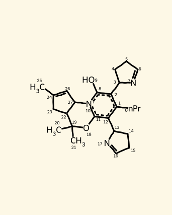 CCCc1c(C2CCC=N2)c(O)[n+]2c(c1C1CCC=N1)OC(C)(C)C1CC(C)=CC12